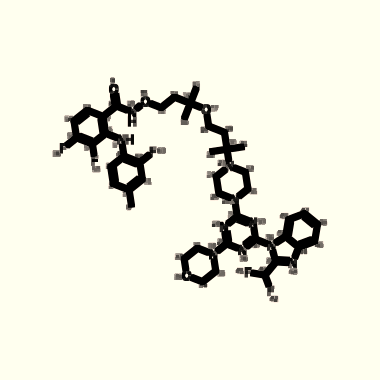 Cc1ccc(Nc2c(C(=O)NOCCC(C)(C)OCCC(C)(C)N3CCN(c4nc(N5CCOCC5)nc(-n5c(C(F)F)nc6ccccc65)n4)CC3)ccc(F)c2F)c(F)c1